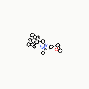 C1=C(c2ccccc2)NC(c2cccc(-c3ccc4c(c3)C3(c5ccccc5-c5ccccc53)c3ccccc3C43c4ccccc4-c4ccccc43)c2)N=C1c1ccc(-c2cccc3c2oc2ccccc23)cc1